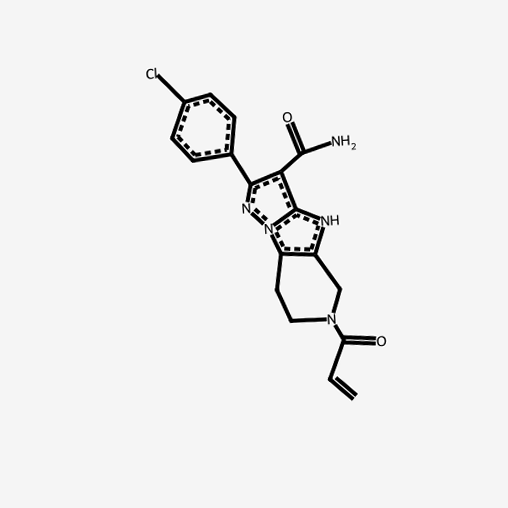 C=CC(=O)N1CCc2c([nH]c3c(C(N)=O)c(-c4ccc(Cl)cc4)nn23)C1